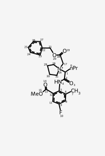 CCCC(C(=O)Nc1c(C)cc(F)cc1C(=O)OC)[N+]1(CC(=O)OCc2ccccc2)CCCC1